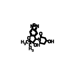 CC1(C)Oc2cc3nonc3cc2C(N2CCC(O)CC2=O)C1O